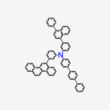 c1ccc(-c2ccc(-c3ccc(N(c4cccc(-c5ccc(-c6ccccc6)c6ccccc56)c4)c4cccc(-c5cc6c7ccccc7ccc6c6ccccc56)c4)cc3)cc2)cc1